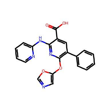 O=C(O)c1cc(-c2ccccc2)c(Oc2cnco2)nc1Nc1ccccn1